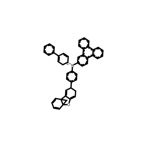 C1=CC23CC2(C=C1)C1=CC(c2ccc(N(c4ccc5c6ccccc6c6ccccc6c5c4)[C@H]4C=CC(c5ccccc5)=CC4)cc2)CC=C1O3